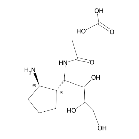 CC(=O)NC(C(O)C(O)CO)[C@@H]1CCC[C@H]1N.O=C(O)O